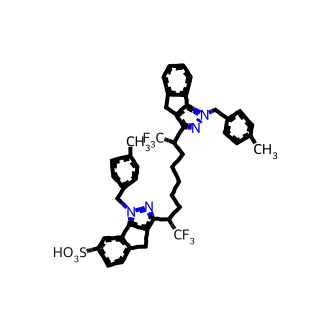 Cc1ccc(Cn2nc(C(CCCCCC(c3nn(Cc4ccc(C)cc4)c4c3Cc3ccc(S(=O)(=O)O)cc3-4)C(F)(F)F)C(F)(F)F)c3c2-c2ccccc2C3)cc1